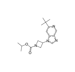 CC(C)OC(=O)N1CC(n2cnc3cnc(C(C)(C)C)cc32)C1